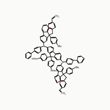 C=Cc1ccc(CC2(c3ccc(C(C)(C)C)cc3)c3ccccc3-c3ccc(N(c4ccc(-c5ccccc5)cc4)c4ccc5c(c4)C(c4ccc(CCCCCC)cc4)(c4ccc(CCCCCC)cc4)c4cc(N(c6ccc(-c7ccccc7)cc6)c6ccc7c(c6)C(Cc6ccc(C=C)cc6)(c6ccc(C(C)(C)C)cc6)c6ccccc6-7)ccc4-5)cc32)cc1